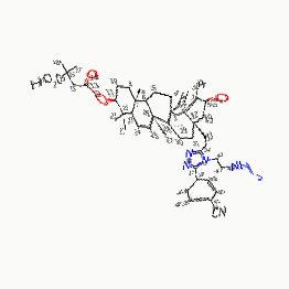 CC(C)C1=C2[C@H]3CCC4[C@@]5(C)CC[C@H](OC(=O)CC(C)(C)C(=O)O)C(C)(C)C5CC[C@@]4(C)[C@]3(C)CC[C@@]2(Cc2nnc(C3C=CC(C#N)=CC3)n2CCN)CC1=O